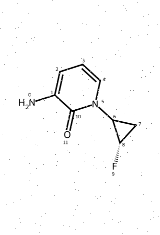 Nc1cccn(C2C[C@@H]2F)c1=O